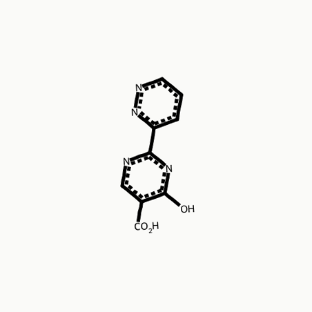 O=C(O)c1cnc(-c2cccnn2)nc1O